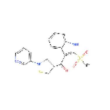 CCCS(=O)(=O)c1[nH]c2ccccc2c1C(=O)C1CSN(c2cccnc2)C1